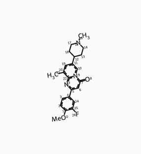 COc1ccc(-c2cc(=O)n3cc(C4CCN(C)CC4)cc(C)c3n2)cc1F